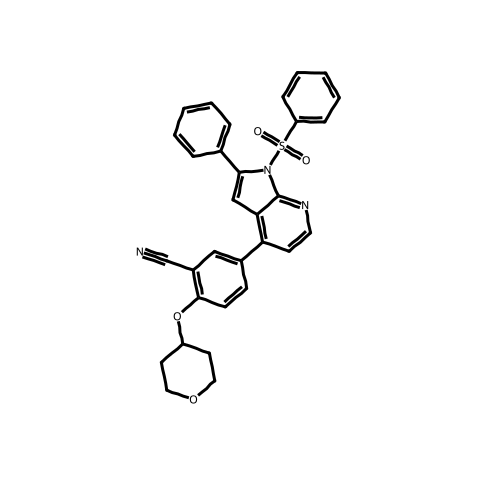 N#Cc1cc(-c2ccnc3c2cc(-c2ccccc2)n3S(=O)(=O)c2ccccc2)ccc1OC1CCOCC1